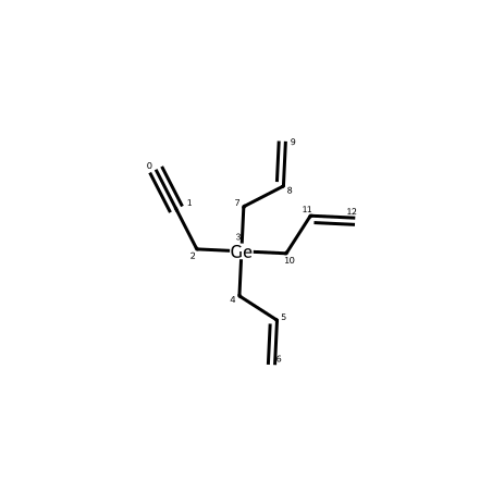 C#C[CH2][Ge]([CH2]C=C)([CH2]C=C)[CH2]C=C